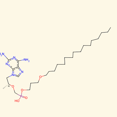 CCCCCCCCCCCCCCCCOCCCOP(=O)(O)CO[C@H](C)Cn1cnc2c(N)nc(N)nc21